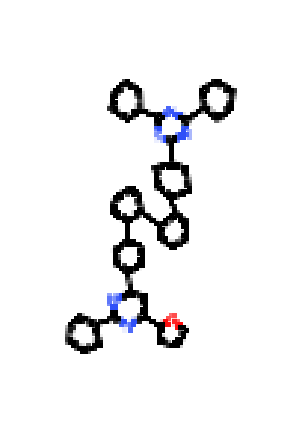 c1ccc(-c2nc(-c3ccc(-c4ccccc4-c4ccccc4-c4ccc(-c5nc(-c6ccccc6)nc(-c6ccccc6)n5)cc4)cc3)cc(-c3ccco3)n2)cc1